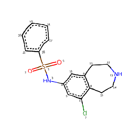 O=S(=O)(Nc1cc(Cl)c2c(c1)CCNCC2)c1ccccc1